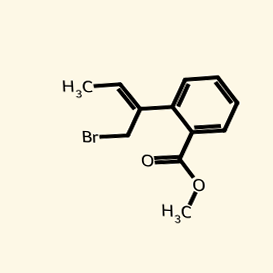 CC=C(CBr)c1ccccc1C(=O)OC